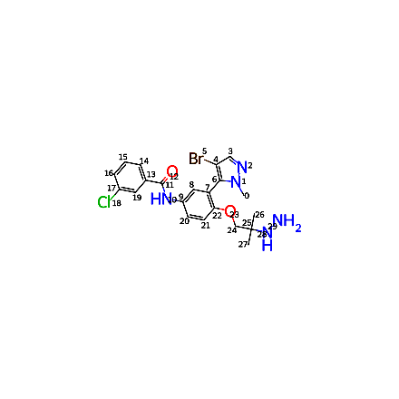 Cn1ncc(Br)c1-c1cc(NC(=O)c2cccc(Cl)c2)ccc1OCC(C)(C)NN